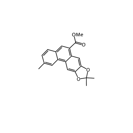 COC(=O)c1cc2ccc(C)cc2c2cc3c(cc12)OC(C)(C)O3